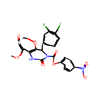 COC(=C=O)C1=C(OC)C(c2ccc(F)c(F)c2)N(C(=O)Oc2ccc([N+](=O)[O-])cc2)C(=O)N1